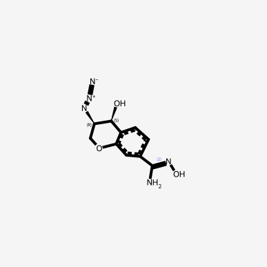 [N-]=[N+]=N[C@@H]1COc2cc(/C(N)=N/O)ccc2[C@@H]1O